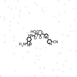 CC1([C@@H](O)C(=O)Nc2ccc3c(N)noc3c2)OCCN(c2ccn(-c3ccnc(C#N)c3)n2)C1=O